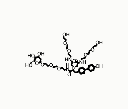 O=C(CN(CC(=O)NCCOCCOCCO)C(Cc1ccc(-c2ccc(O)cc2)cc1)C(=O)NCCOCCOCCO[C@H]1C[C@@H](O)[C@@H](O)[C@@H](CO)O1)NCCOCCOCCO